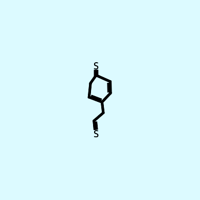 S=CCC1=CCC(=S)C=C1